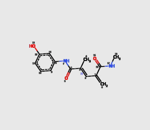 C=C(/C=C(\C)C(=O)Nc1cccc(O)c1)C(=O)NC